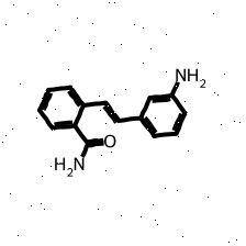 NC(=O)c1ccccc1C=Cc1cccc(N)c1